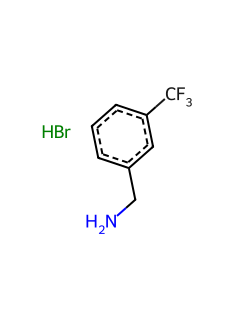 Br.NCc1cccc(C(F)(F)F)c1